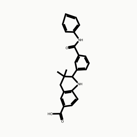 CC1(C)Cc2cc(C(=O)O)ccc2NC1c1cccc(C(=O)Nc2ccccc2)c1